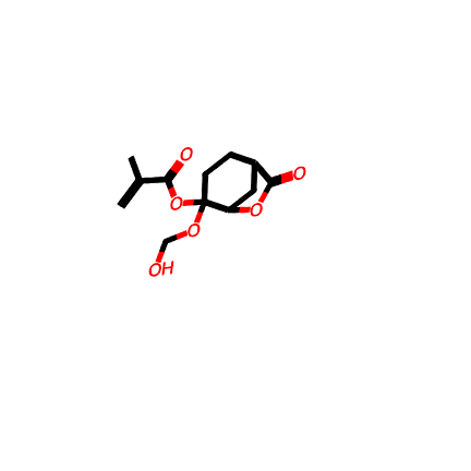 C=C(C)C(=O)OC1(OCO)CCC2CC1OC2=O